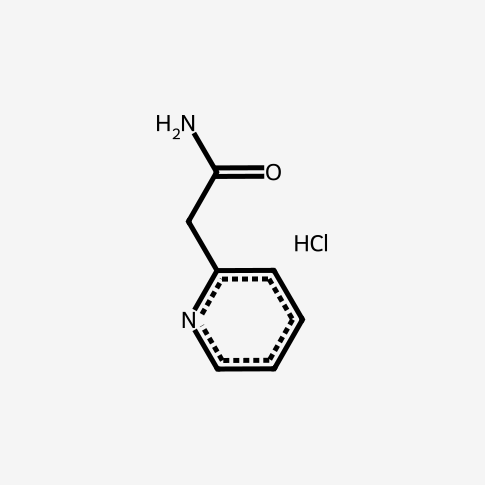 Cl.NC(=O)Cc1ccccn1